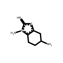 N=c1sc2c(n1N)CCC(N)C2